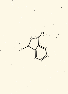 CC1OC(I)c2ccccc21